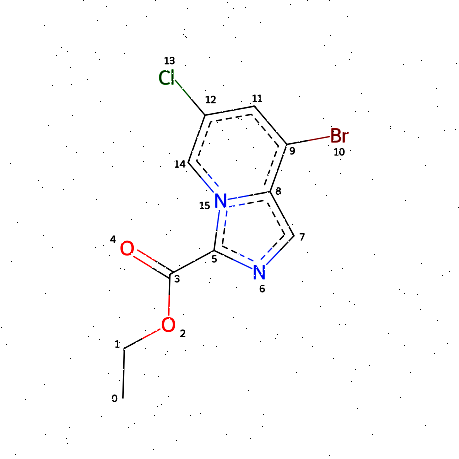 CCOC(=O)c1ncc2c(Br)cc(Cl)cn12